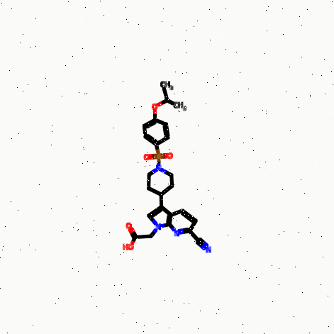 CC(C)Oc1ccc(S(=O)(=O)N2CCC(c3cn(CC(=O)O)c4nc(C#N)ccc34)CC2)cc1